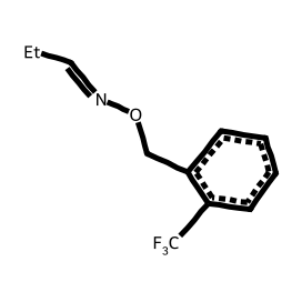 CCC=NOCc1ccccc1C(F)(F)F